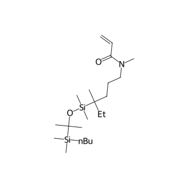 C=CC(=O)N(C)CCCC(C)(CC)[Si](C)(C)OC(C)(C)[Si](C)(C)CCCC